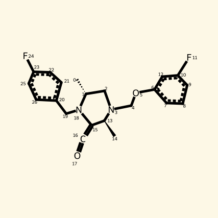 C[C@@H]1CN(COc2cccc(F)c2)[C@@H](C)C(=C=O)N1Cc1ccc(F)cc1